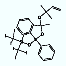 C=CC(C)(C)OC(C)(C)O[Si](O[Si](C=C)(C(I)(I)I)C(I)(I)I)(c1ccccc1)c1ccccc1